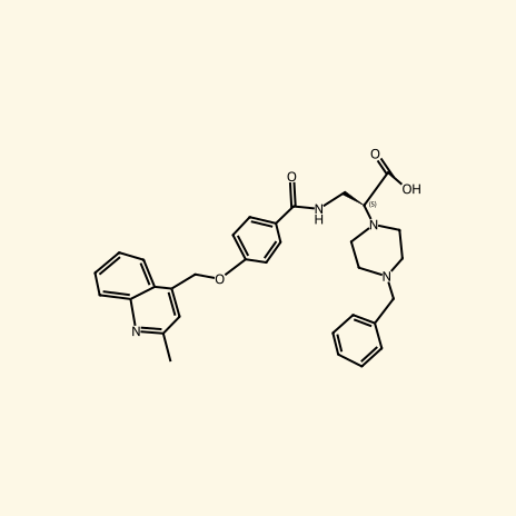 Cc1cc(COc2ccc(C(=O)NC[C@@H](C(=O)O)N3CCN(Cc4ccccc4)CC3)cc2)c2ccccc2n1